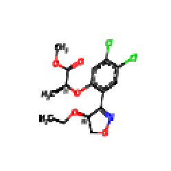 CCO[C@@H]1CON=C1c1cc(Cl)c(Cl)cc1O[C@@H](C)C(=O)OC